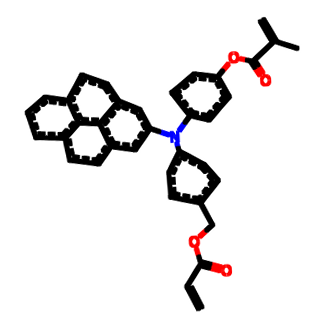 C=CC(=O)OCc1ccc(N(c2ccc(OC(=O)C(=C)C)cc2)c2cc3ccc4cccc5ccc(c2)c3c45)cc1